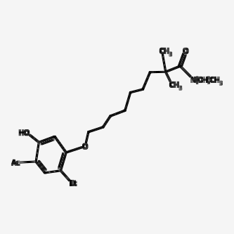 CCc1cc(C(C)=O)c(O)cc1OCCCCCCCC(C)(C)C(=O)N(C)O